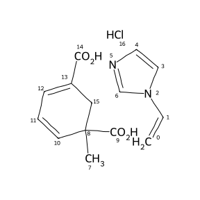 C=Cn1ccnc1.CC1(C(=O)O)C=CC=C(C(=O)O)C1.Cl